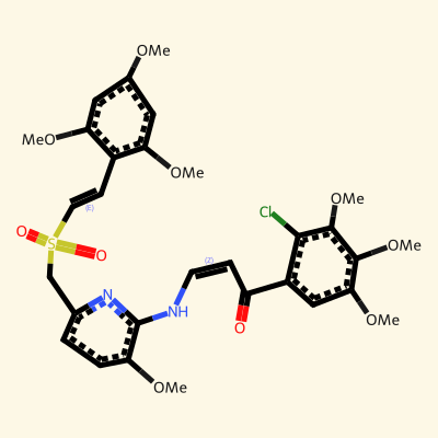 COc1cc(OC)c(/C=C/S(=O)(=O)Cc2ccc(OC)c(N/C=C\C(=O)c3cc(OC)c(OC)c(OC)c3Cl)n2)c(OC)c1